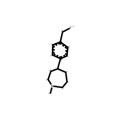 CN1CCCC(c2ccc(CF)cc2)CC1